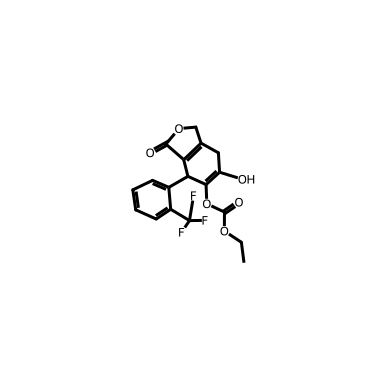 CCOC(=O)OC1=C(O)CC2=C(C(=O)OC2)C1c1ccccc1C(F)(F)F